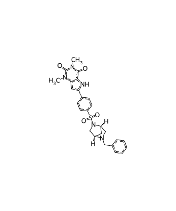 Cn1c(=O)c2[nH]c(-c3ccc(S(=O)(=O)N4C[C@@H]5C[C@H]4CN5Cc4ccccc4)cc3)cc2n(C)c1=O